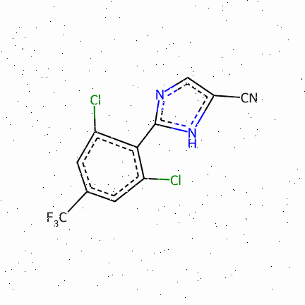 N#Cc1cnc(-c2c(Cl)cc(C(F)(F)F)cc2Cl)[nH]1